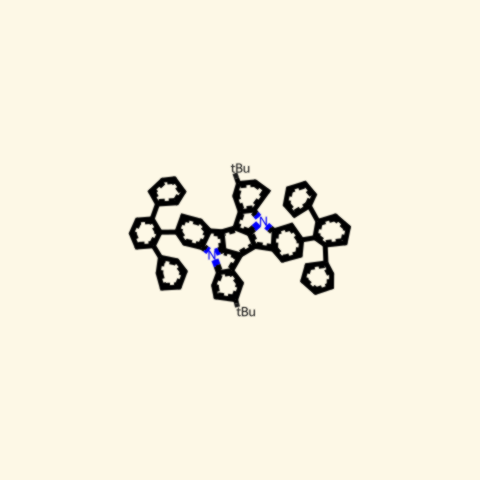 CC(C)(C)c1ccc2c(c1)c1c3c4ccc(-c5c(-c6ccccc6)cccc5-c5ccccc5)cc4n4c5ccc(C(C)(C)C)cc5c(c5c6ccc(-c7c(-c8ccccc8)cccc7-c7ccccc7)cc6n2c15)c34